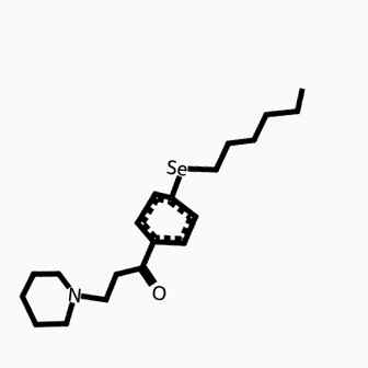 CCCCCC[Se]c1ccc(C(=O)CCN2CCCCC2)cc1